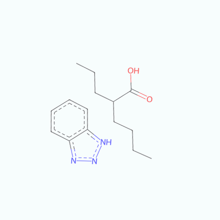 CCCCC(CCC)C(=O)O.c1ccc2[nH]nnc2c1